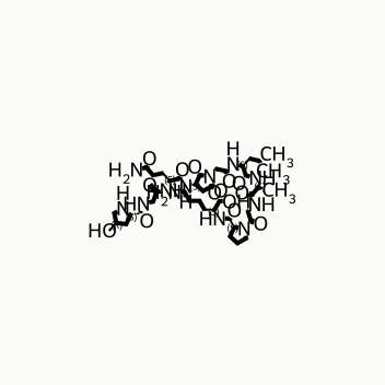 CC(C)C[C@H](NC(=O)CN1C(=O)C[C@H](NC(=O)[C@H](CCC(N)=O)NC(=O)CNC(=O)[C@@H]2C[C@@H](O)CN2)C1=O)C(=O)N[C@@H](C)C(=O)NCC(=O)N1CCC[C@H]1C(=O)N[C@@H](CCCCN)C(=O)O